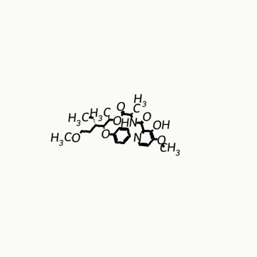 CC[C@@H](CCOC)[C@@H](Oc1ccccc1)[C@H](C)OC(=O)[C@@H](C)NC(=O)c1nccc(OC)c1O